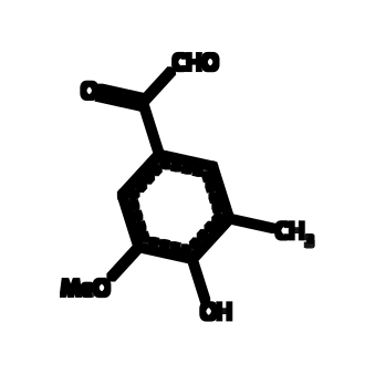 COc1cc(C(=O)C=O)cc(C)c1O